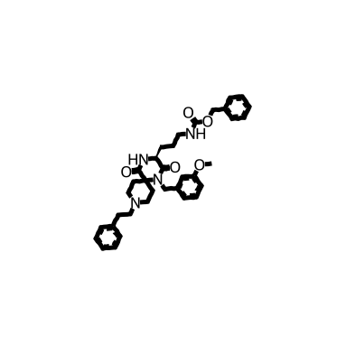 COc1cccc(CN2C(=O)[C@H](CCCNC(=O)OCc3ccccc3)NC(=O)C23CCN(CCc2ccccc2)CC3)c1